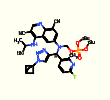 Cc1nc(F)ccc1[C@@H](c1cn(C23CC(C2)C3)nn1)N(COP(=O)(OC(C)(C)C)OC(C)(C)C)c1cc(C#N)c2ncc(C#N)c(NC(C)C(C)(C)C)c2c1